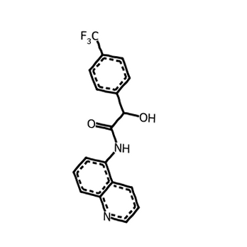 O=C(Nc1cccc2ncccc12)C(O)c1ccc(C(F)(F)F)cc1